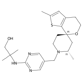 Cc1cc2c(s1)[C@]1(CCN(Cc3cnc(NC(C)(C)CO)nc3)[C@@H](C)C1)OCC2